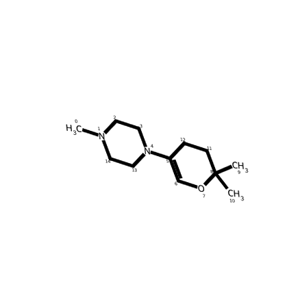 CN1CCN(C2=COC(C)(C)CC2)CC1